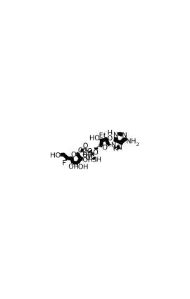 CC[C@@]1(O)[C@H](O)[C@@H](COP(=O)(S)OP(=O)(O)OC2OC([C@@H](F)CO)C(O)C(O)C2O)O[C@H]1n1nnc2c(N)ncnc21